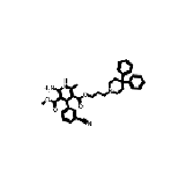 COC(=O)C1=C(N)NC(C)=C(C(=O)OCCCN2CCC(c3ccccc3)(c3ccccc3)CC2)C1c1cccc(C#N)c1